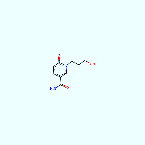 NC(=O)c1ccc(=O)n(CCCO)c1